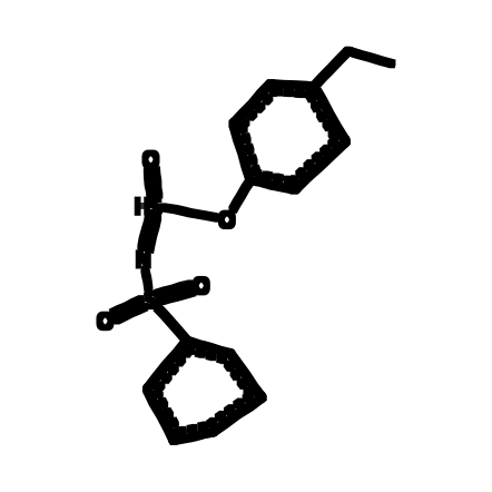 CCc1ccc(O/[SH](=O)=N\S(=O)(=O)c2ccccc2)cc1